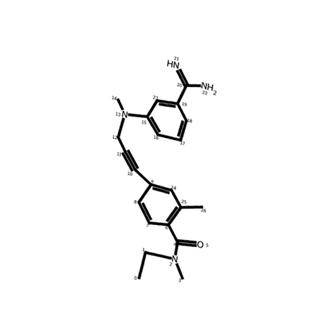 CCN(C)C(=O)c1ccc(C#CCN(C)c2cccc(C(=N)N)c2)cc1C